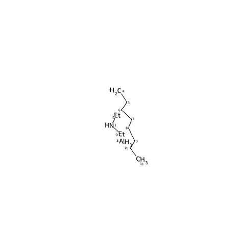 CCNCC.[AlH3].[CH2]CCCCCCC